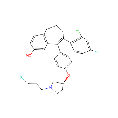 Oc1ccc2c(c1)C(c1ccc(O[C@H]3CCN(CCCF)C3)cc1)=C(c1ccc(F)cc1Cl)CCC2